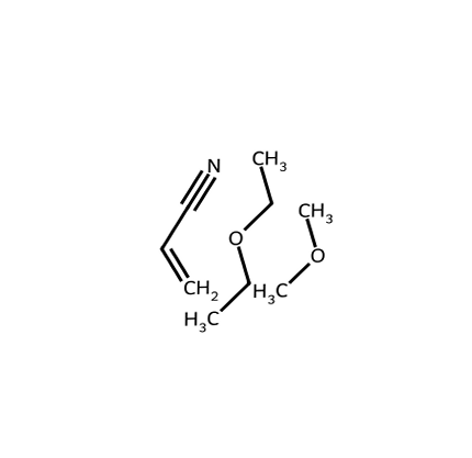 C=CC#N.CCOCC.COC